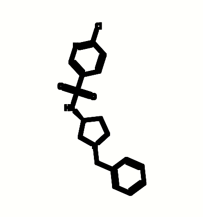 O=S(=O)(N[C@H]1CCN(Cc2ccccc2)C1)c1ccc(Cl)nc1